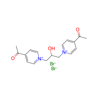 CC(=O)c1cc[n+](CC(O)C[n+]2ccc(C(C)=O)cc2)cc1.[Br-].[Br-]